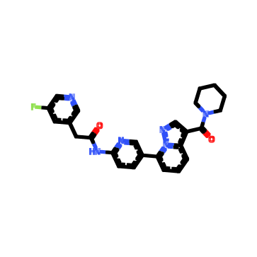 O=C(Cc1cncc(F)c1)Nc1ccc(-c2cccc3c(C(=O)N4CCCCC4)cnn23)cn1